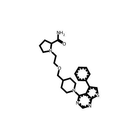 NC(=O)C1CCCN1CCOCC1CCN(c2ncnc3scc(-c4ccccc4)c23)CC1